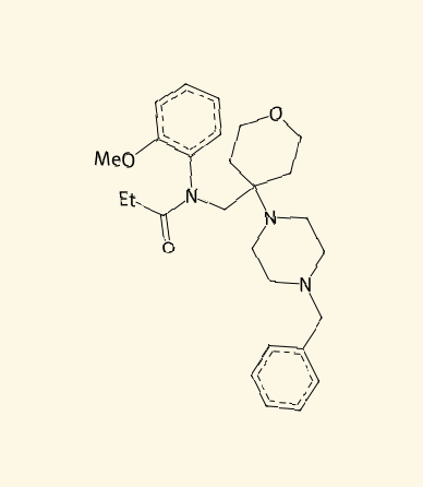 CCC(=O)N(CC1(N2CCN(Cc3ccccc3)CC2)CCOCC1)c1ccccc1OC